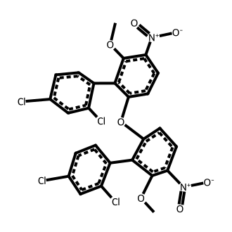 COc1c([N+](=O)[O-])ccc(Oc2ccc([N+](=O)[O-])c(OC)c2-c2ccc(Cl)cc2Cl)c1-c1ccc(Cl)cc1Cl